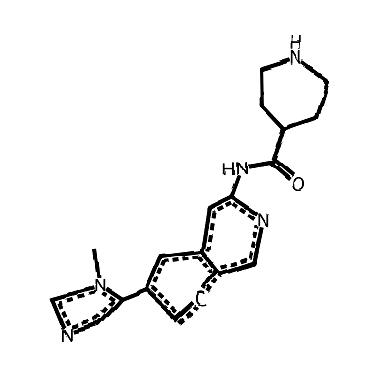 Cn1cncc1-c1ccc2cnc(NC(=O)C3CCNCC3)cc2c1